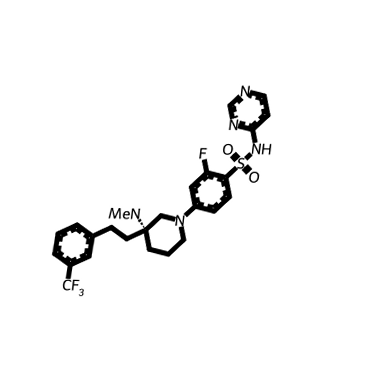 CN[C@@]1(CCc2cccc(C(F)(F)F)c2)CCCN(c2ccc(S(=O)(=O)Nc3ccncn3)c(F)c2)C1